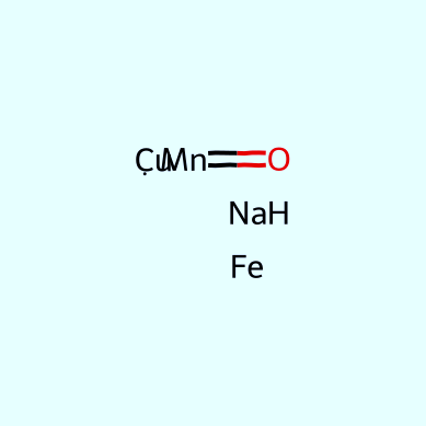 [Cu].[Fe].[NaH].[O]=[Mn]